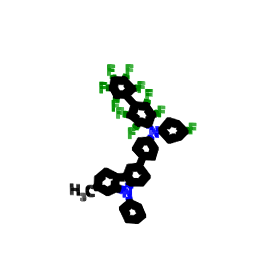 Cc1ccc2c3cc(-c4ccc(N(c5ccc(F)cc5)c5c(F)c(F)c(-c6c(F)c(F)c(F)c(F)c6F)c(F)c5F)cc4)ccc3n(-c3ccccc3)c2c1